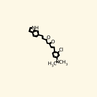 CN(C)c1ccc(/C=C/C(=O)CC(=O)/C=C/c2ccc3cc[nH]c3c2)c(Cl)c1